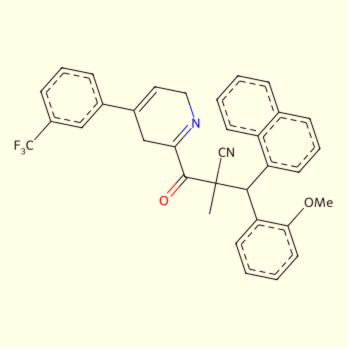 COc1ccccc1C(c1cccc2ccccc12)C(C)(C#N)C(=O)C1=NCC=C(c2cccc(C(F)(F)F)c2)C1